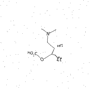 CCC(CCN(C)C)OC(=O)O.Cl